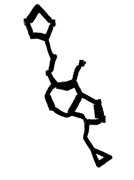 Brc1c(OCc2cncs2)ccc2c1nnn2CC1CC1